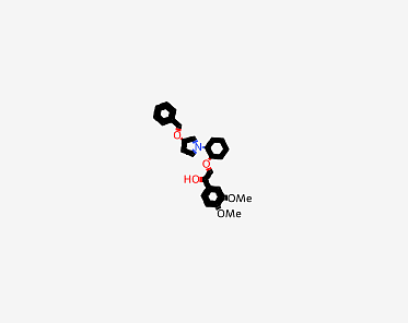 COc1ccc(C(O)CO[C@@H]2CCCC[C@H]2N2CC[C@@H](OCc3ccccc3)C2)cc1OC